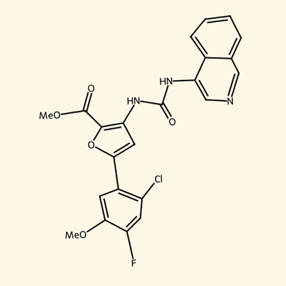 COC(=O)c1oc(-c2cc(OC)c(F)cc2Cl)cc1NC(=O)Nc1cncc2ccccc12